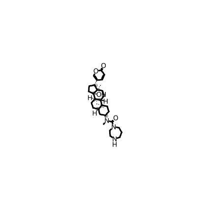 CN(C(=O)N1CCCNCC1)[C@H]1CC[C@@]2(C)[C@H](CC[C@@H]3[C@@H]2CC[C@]2(C)[C@@H](c4ccc(=O)oc4)CC[C@]32O)C1